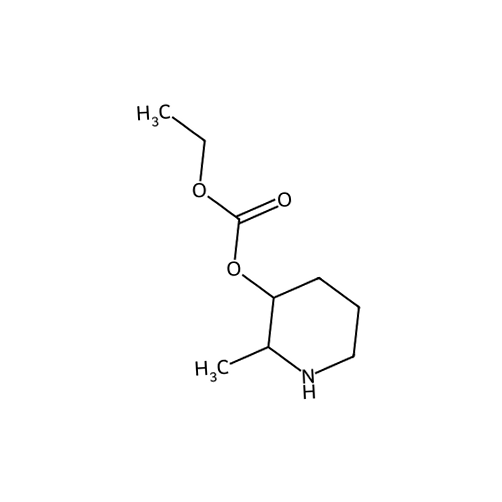 CCOC(=O)OC1CCCNC1C